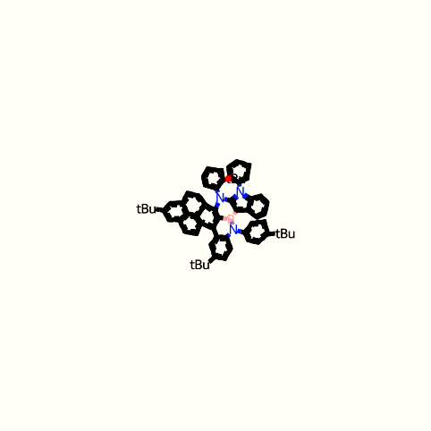 CC(C)(C)c1ccc(N2B3c4c(c5ccc6cc(C(C)(C)C)cc7ccc(c4N(c4ccccc4C(C)(C)C)c4c3c3ccccc3n4-c3ccccc3)c5c67)-c3cc(C(C)(C)C)ccc32)cc1